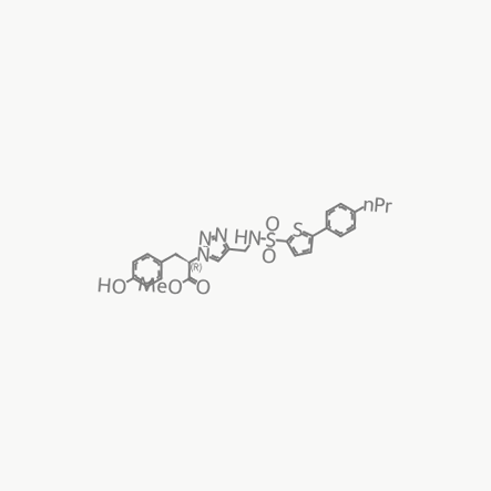 CCCc1ccc(-c2ccc(S(=O)(=O)NCc3cn([C@H](Cc4ccc(O)cc4)C(=O)OC)nn3)s2)cc1